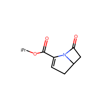 CC(C)OC(=O)C1=CCC2CC(=O)N12